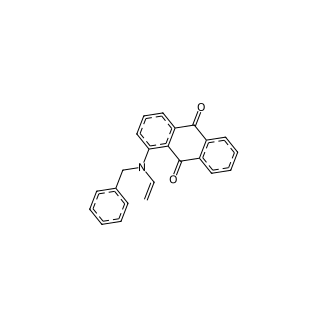 C=CN(Cc1ccccc1)c1cccc2c1C(=O)c1ccccc1C2=O